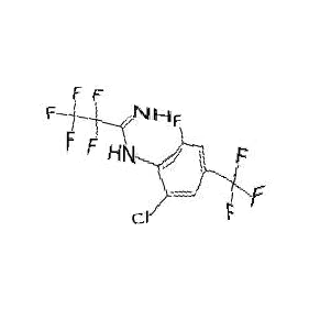 N=C(Nc1c(F)cc(C(F)(F)F)cc1Cl)C(F)(F)C(F)(F)F